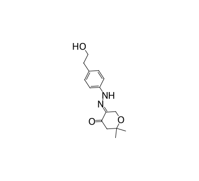 CC1(C)CC(=O)C(=NNc2ccc(CCO)cc2)CO1